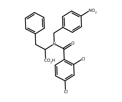 O=C(O)C(Cc1ccccc1)N(Cc1ccc([N+](=O)[O-])cc1)C(=O)c1ccc(Cl)cc1Cl